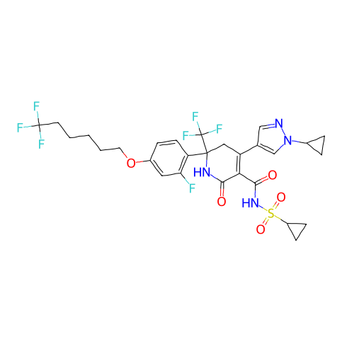 O=C1NC(c2ccc(OCCCCCC(F)(F)F)cc2F)(C(F)(F)F)CC(c2cnn(C3CC3)c2)=C1C(=O)NS(=O)(=O)C1CC1